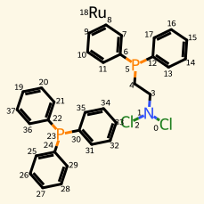 ClN(Cl)CCP(c1ccccc1)c1ccccc1.[Ru].c1ccc(P(c2ccccc2)c2ccccc2)cc1